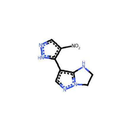 O=[N+]([O-])c1cn[nH]c1-c1cnn2c1NCC2